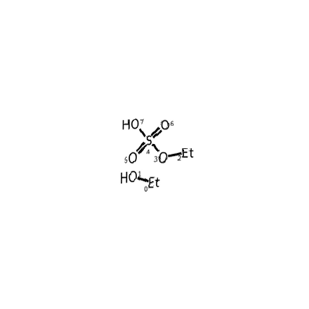 CCO.CCOS(=O)(=O)O